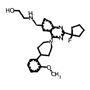 COc1ccccc1C1CCN(c2nc(C3(F)CCCC3)nc3ccc(CNCCO)cc23)CC1